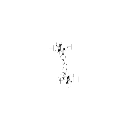 O=c1[nH]c(=O)n(-c2ccc(/C=N/c3ccc(-n4c(=O)[nH]c(=O)[nH]c4=O)cc3)cc2)c(=O)[nH]1